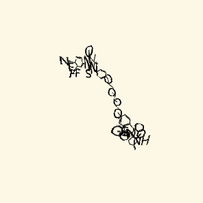 C=C1CCC(N2C(=O)c3ccc(OCCOCCOCCOc4ccc(N5C(=S)N(c6ccc(C#N)c(C(F)(F)F)c6)C(=O)C5(C)C)cc4)cc3S2(=O)=O)C(=O)N1